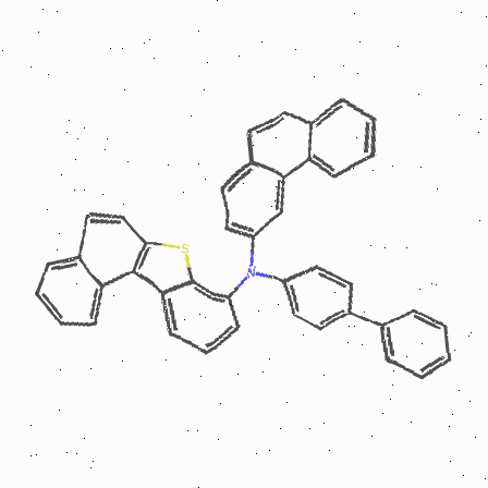 c1ccc(-c2ccc(N(c3ccc4ccc5ccccc5c4c3)c3cccc4c3sc3ccc5ccccc5c34)cc2)cc1